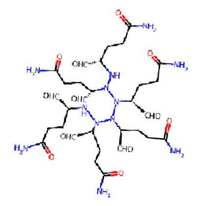 NC(=O)CC[C@@H](C=O)NN([C@H](C=O)CCC(N)=O)N([C@H](C=O)CCC(N)=O)N([C@H](C=O)CCC(N)=O)N(N[C@H](C=O)CCC(N)=O)[C@H](C=O)CCC(N)=O